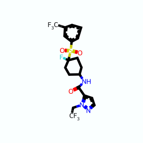 O=C(NC1CCC(F)(S(=O)(=O)c2cccc(C(F)(F)F)c2)CC1)c1ccnn1CC(F)(F)F